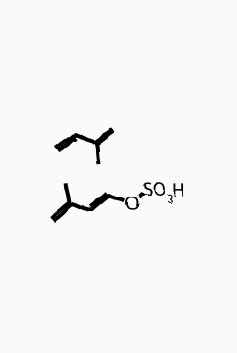 C=C(C)C=COS(=O)(=O)O.C=CC(=C)C